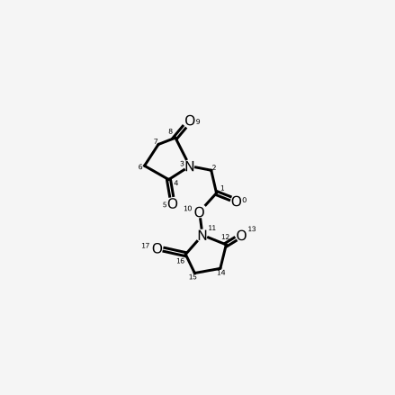 O=C(CN1C(=O)CCC1=O)ON1C(=O)CCC1=O